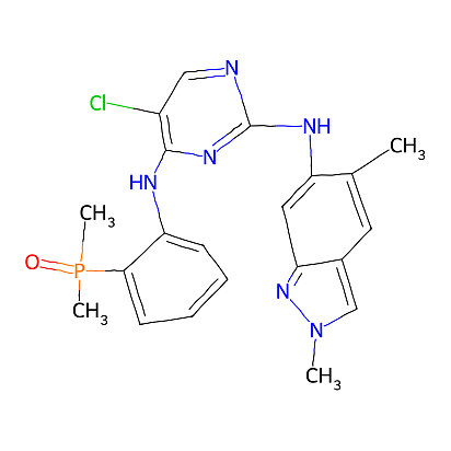 Cc1cc2cn(C)nc2cc1Nc1ncc(Cl)c(Nc2ccccc2P(C)(C)=O)n1